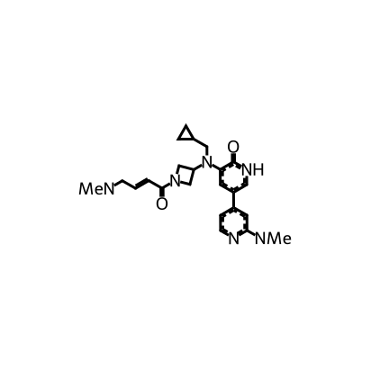 CNC/C=C/C(=O)N1CC(N(CC2CC2)c2cc(-c3ccnc(NC)c3)c[nH]c2=O)C1